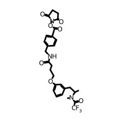 CC(Cc1cccc(OCCCC(=O)NCc2ccc(C(=O)ON3C(=O)CCC3=O)cc2)c1)N(C)C(=O)C(F)(F)F